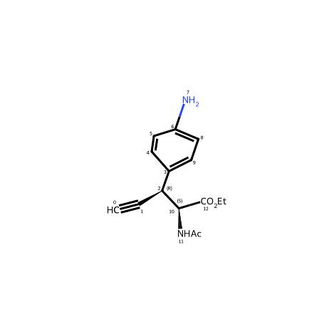 C#C[C@@H](c1ccc(N)cc1)[C@H](NC(C)=O)C(=O)OCC